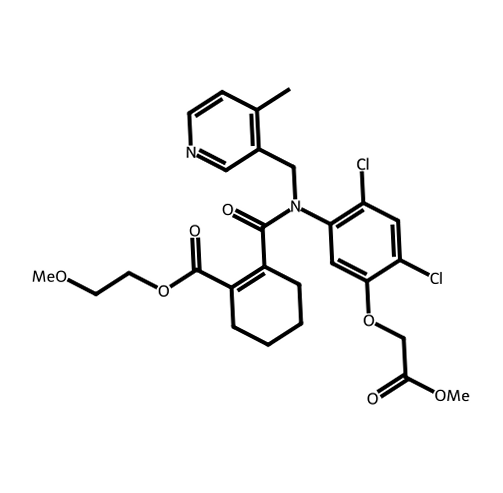 COCCOC(=O)C1=C(C(=O)N(Cc2cnccc2C)c2cc(OCC(=O)OC)c(Cl)cc2Cl)CCCC1